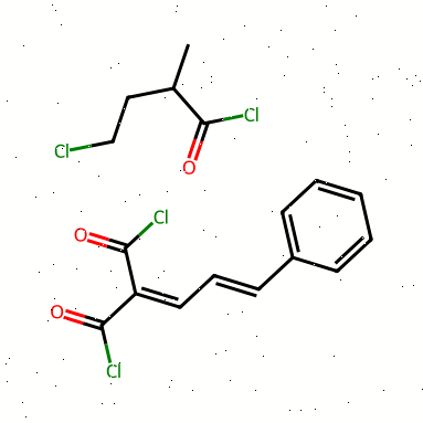 CC(CCCl)C(=O)Cl.O=C(Cl)C(=CC=Cc1ccccc1)C(=O)Cl